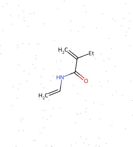 C=CNC(=O)C(=C)CC